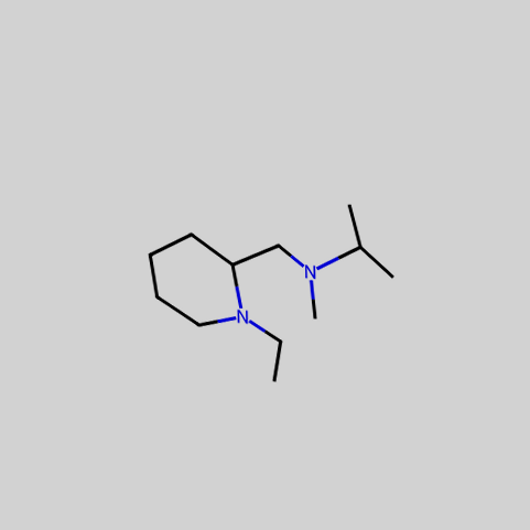 CCN1CCCCC1CN(C)C(C)C